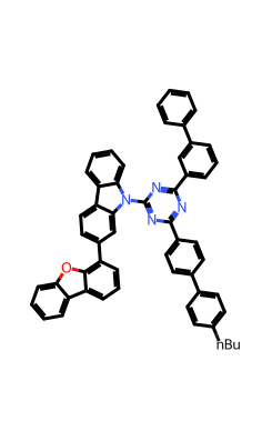 CCCCc1ccc(-c2ccc(-c3nc(-c4cccc(-c5ccccc5)c4)nc(-n4c5ccccc5c5ccc(-c6cccc7c6oc6ccccc67)cc54)n3)cc2)cc1